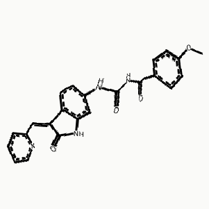 COc1ccc(C(=O)NC(=O)Nc2ccc3c(c2)NC(=O)/C3=C\c2ccccn2)cc1